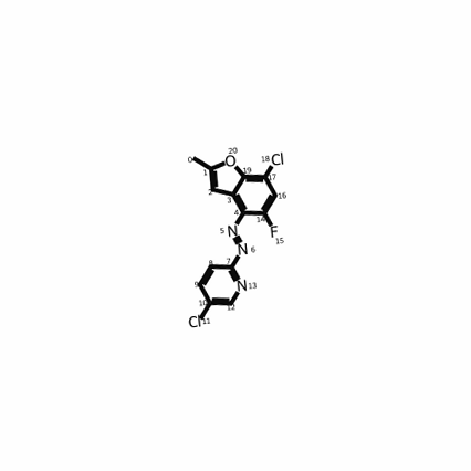 Cc1cc2c(N=Nc3ccc(Cl)cn3)c(F)cc(Cl)c2o1